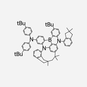 CC1(C)Cc2cccc(N3c4ccc(C(C)(C)C)cc4B4c5ccc(N(c6ccc(C(C)(C)C)cc6)c6ccc(C(C)(C)C)cc6)cc5N5c6cccc7c6CC(C)(C7)CC(C)(C)c6cc3c4c5c6)c2C1